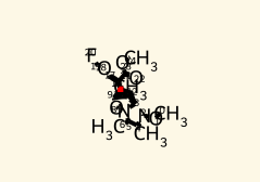 CON=C(C)C(C)N1Oc2c(C)cc1cc2C(=COCF)C(=O)OC